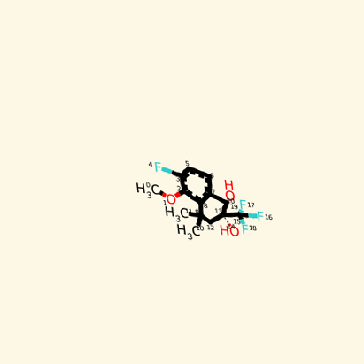 COc1c(F)ccc2c1C(C)(C)C[C@](O)(C(F)(F)F)[C@H]2O